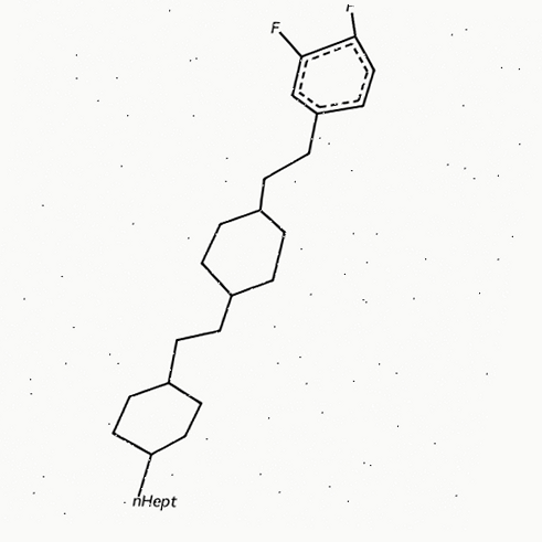 CCCCCCCC1CCC(CCC2CCC(CCc3ccc(F)c(F)c3)CC2)CC1